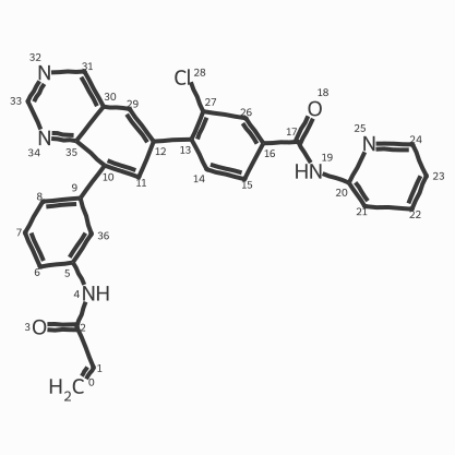 C=CC(=O)Nc1cccc(-c2cc(-c3ccc(C(=O)Nc4ccccn4)cc3Cl)cc3cncnc23)c1